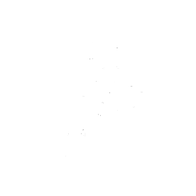 O=C(O)C(=O)Nc1nc(C2(Cc3ccccc3)COCCO2)cs1